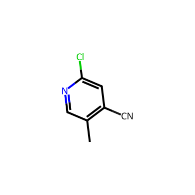 Cc1cnc(Cl)cc1C#N